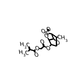 C=C(C)C(=O)OCC(=O)OC1C2OC3C1OS(=O)(=O)C3C2C